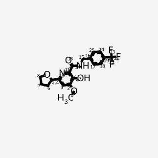 COc1cc(C2CCCO2)nc(C(=O)NCc2ccc(C(F)(F)F)cc2)c1O